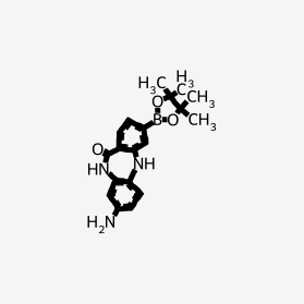 CC1(C)OB(c2ccc3c(c2)Nc2ccc(N)cc2NC3=O)OC1(C)C